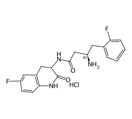 Cl.N[C@@H](CC(=O)NC1Cc2cc(F)ccc2NC1=O)Cc1ccccc1F